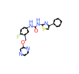 O=C(Nc1ccc(F)c(COc2cnccn2)c1)Nc1nc(-c2ccccc2)cs1